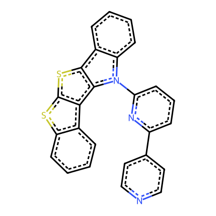 c1cc(-c2ccncc2)nc(-n2c3ccccc3c3sc4sc5ccccc5c4c32)c1